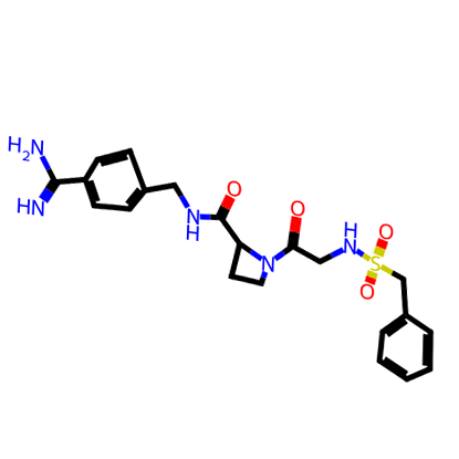 N=C(N)c1ccc(CNC(=O)C2CCN2C(=O)CNS(=O)(=O)Cc2ccccc2)cc1